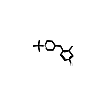 Cc1cc(Cl)ccc1CC1CCN(C(C)(C)C)CC1